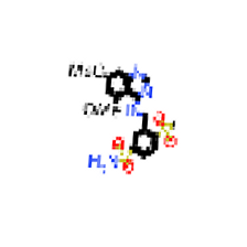 COc1cc(OC)c2c(NCc3cc(S(N)(=O)=O)ccc3S(C)(=O)=O)ncnc2c1